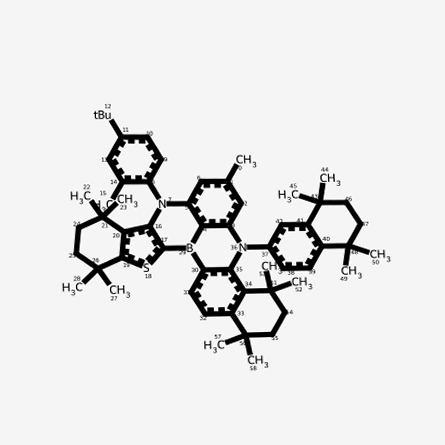 Cc1cc2c3c(c1)N(c1ccc(C(C)(C)C)cc1C)c1c(sc4c1C(C)(C)CCC4(C)C)B3c1ccc3c(c1N2c1ccc2c(c1)C(C)(C)CCC2(C)C)C(C)(C)CCC3(C)C